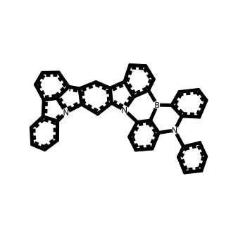 c1ccc(N2c3ccccc3B3c4c2cccc4-n2c4cc5c(cc4c4cccc3c42)c2cccc3c4ccccc4n5c32)cc1